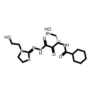 CC(C)C[C@H](NC(=O)C1CCCCC1)C(=O)C(=O)NN=C1SCCN1CCO.Cl